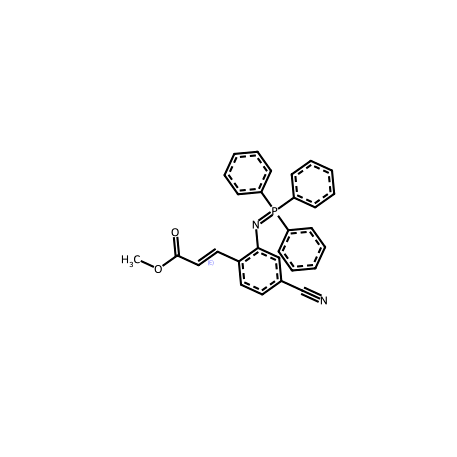 COC(=O)/C=C/c1ccc(C#N)cc1N=P(c1ccccc1)(c1ccccc1)c1ccccc1